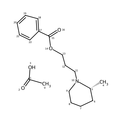 CC(=O)O.C[C@@H]1CCCCN1CCCOC(=O)c1ccccc1